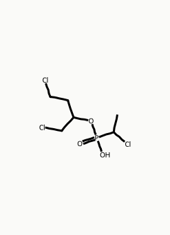 CC(Cl)P(=O)(O)OC(CCl)CCCl